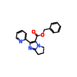 O=C(OCc1ccccc1)c1c(-c2ccccn2)nc2n1CCC2